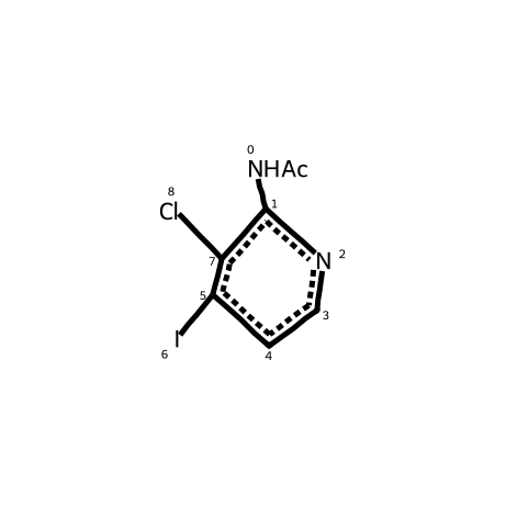 CC(=O)Nc1nccc(I)c1Cl